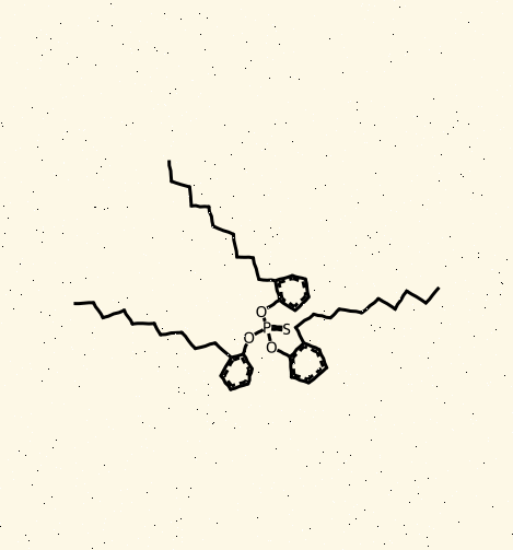 CCCCCCCCCCc1ccccc1OP(=S)(Oc1ccccc1CCCCCCCCCC)Oc1ccccc1CCCCCCCCCC